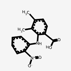 Cc1ccc(C(=O)O)c(Nc2ccccc2[N+](=O)[O-])c1C